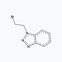 BrCCn1nnc2ccccc21